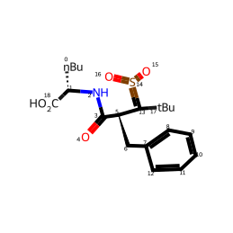 CCCC[C@H](NC(=O)[C@H](Cc1ccccc1)C(=S(=O)=O)C(C)(C)C)C(=O)O